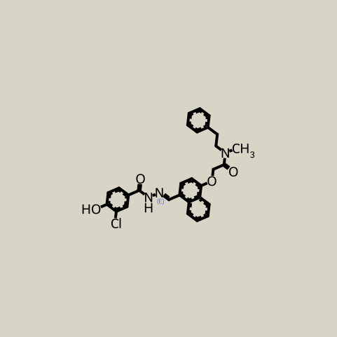 CN(CCc1ccccc1)C(=O)COc1ccc(/C=N/NC(=O)c2ccc(O)c(Cl)c2)c2ccccc12